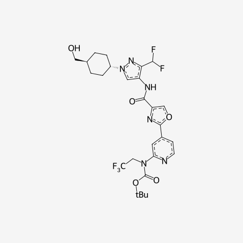 CC(C)(C)OC(=O)N(CC(F)(F)F)c1cc(-c2nc(C(=O)Nc3cn([C@H]4CC[C@H](CO)CC4)nc3C(F)F)co2)ccn1